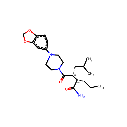 CCC[C@H](C(N)=O)[C@@H](CC(C)C)C(=O)N1CCN(c2ccc3c(c2)OCO3)CC1